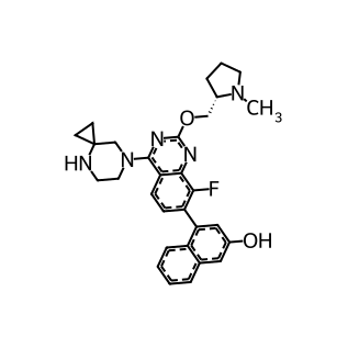 CN1CCC[C@H]1COc1nc(N2CCNC3(CC3)C2)c2ccc(-c3cc(O)cc4ccccc34)c(F)c2n1